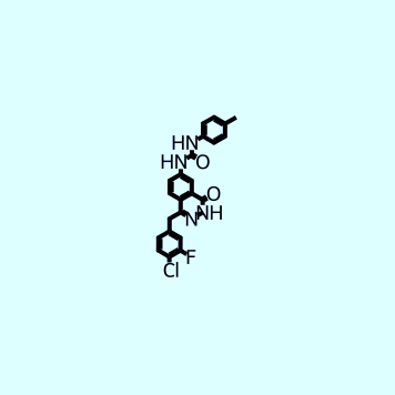 Cc1ccc(NC(=O)Nc2ccc3c(Cc4ccc(Cl)c(F)c4)n[nH]c(=O)c3c2)cc1